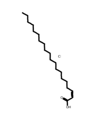 CCCCCCCCCCCCCCCCC/C=C\C(=O)O.[C]